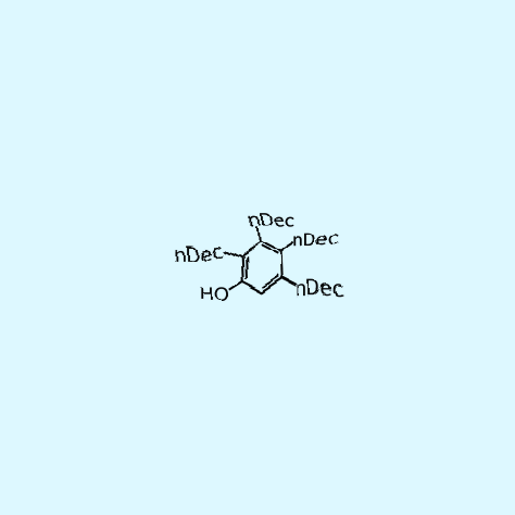 CCCCCCCCCCc1cc(O)c(CCCCCCCCCC)c(CCCCCCCCCC)c1CCCCCCCCCC